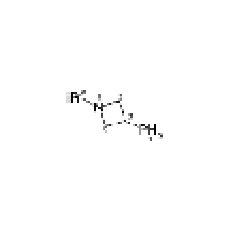 CC(C)N1CC(P)C1